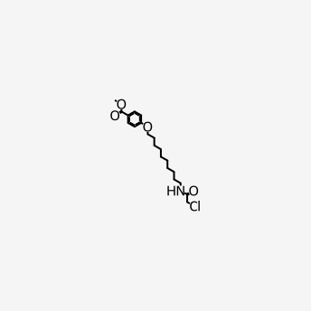 COC(=O)c1ccc(OCCCCCCCCCCNC(=O)CCl)cc1